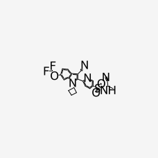 CC(C#N)NS(=O)(=O)c1ccc(-c2c(C#N)c3ccc(OC(F)F)cc3n2C2CCC2)nc1